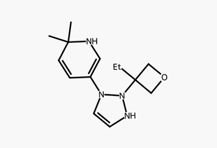 CCC1(N2NC=CN2C2=CNC(C)(C)C=C2)COC1